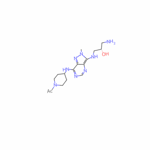 CC(=O)N1CCC(Nc2ncnc3c(NC[C@@H](O)CN)n(C)nc23)CC1